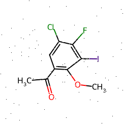 COc1c(C(C)=O)cc(Cl)c(F)c1I